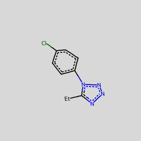 [CH2]Cc1nnnn1-c1ccc(Cl)cc1